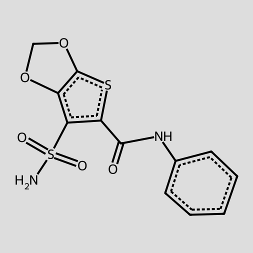 NS(=O)(=O)c1c(C(=O)Nc2ccccc2)sc2c1OCO2